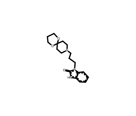 O=c1[nH]c2ccccc2n1CCCN1CCC2(CC1)OCCCO2